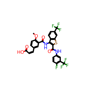 COc1ccc(/C=C\C(=O)O)cc1C(=O)Nc1c(C(=O)Nc2ccc(F)c(C(F)(F)F)c2)sc2cc(C(F)(F)F)ccc12